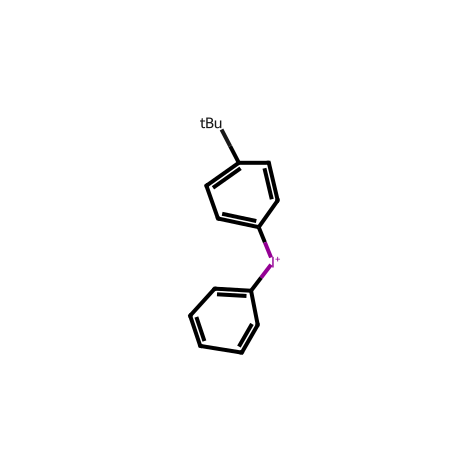 CC(C)(C)c1ccc([I+]c2ccccc2)cc1